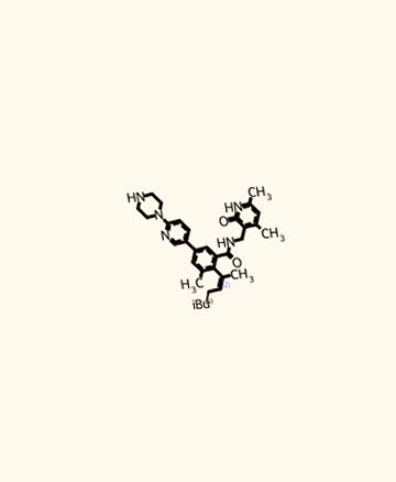 CC[C@H](C)C/C=C(/C)c1c(C)cc(-c2ccc(N3CCNCC3)nc2)cc1C(=O)NCc1c(C)cc(C)[nH]c1=O